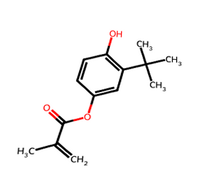 C=C(C)C(=O)Oc1ccc(O)c(C(C)(C)C)c1